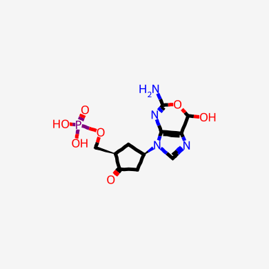 NC1=Nc2c(ncn2[C@H]2CC(=O)[C@@H](COP(=O)(O)O)C2)C(O)O1